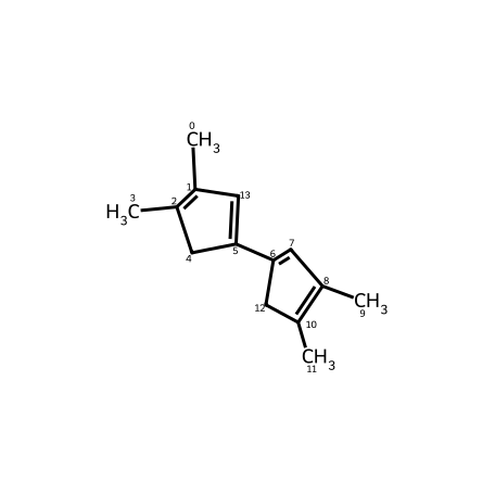 CC1=C(C)CC(C2=CC(C)=C(C)C2)=C1